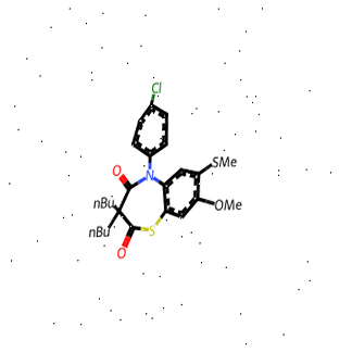 CCCCC1(CCCC)C(=O)Sc2cc(OC)c(SC)cc2N(c2ccc(Cl)cc2)C1=O